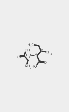 CC[C@@H](C)[C@@H](N)C(=O)O.NCC(=O)O